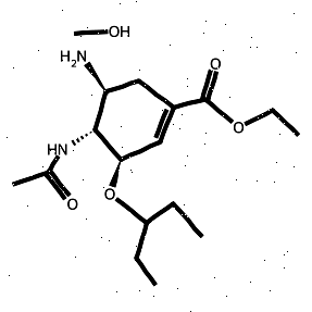 CCOC(=O)C1=C[C@@H](OC(CC)CC)[C@H](NC(C)=O)[C@@H](N)C1.CO